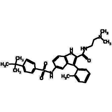 Cc1ccccc1-c1c(C(=O)NCCN(C)C)[nH]c2ccc(NS(=O)(=O)c3ccc(C(C)(C)C)cc3)cc12